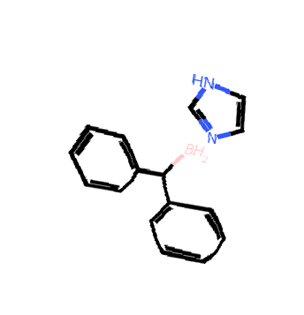 BC(c1ccccc1)c1ccccc1.c1c[nH]cn1